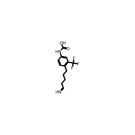 N=CCCCCc1ccc(NC(=O)O)cc1C(F)(F)F